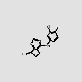 OC1CCc2c(Nc3ccc(Cl)c(Cl)c3)ncnc21